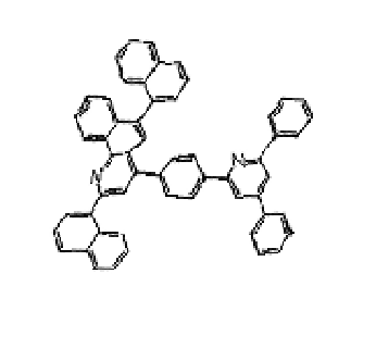 c1ccc(-c2cc(-c3ccccc3)nc(-c3ccc(-c4cc(-c5cccc6ccccc56)nc5c4cc(-c4cccc6ccccc46)c4ccccc45)cc3)c2)cc1